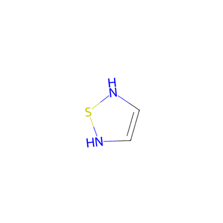 C1=CNSN1